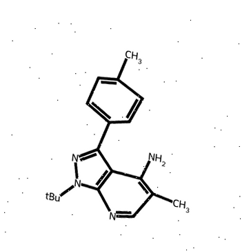 Cc1ccc(-c2nn(C(C)(C)C)c3ncc(C)c(N)c23)cc1